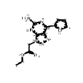 CCOC(=O)Cn1nnc2c(-c3ccco3)nc(N)nc21